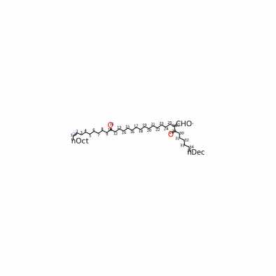 CCCCCCCC/C=C\CCCCCCCC(=O)CCCCCCCCCCCCCCC([C]=O)C(=O)CCCCCCCCCCCCCCC